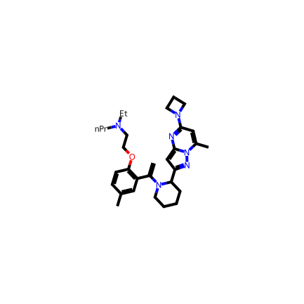 C=C(c1cc(C)ccc1OCCN(CC)CCC)N1CCCCC1c1cc2nc(N3CCC3)cc(C)n2n1